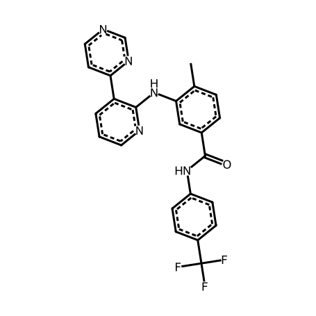 Cc1ccc(C(=O)Nc2ccc(C(F)(F)F)cc2)cc1Nc1ncccc1-c1ccncn1